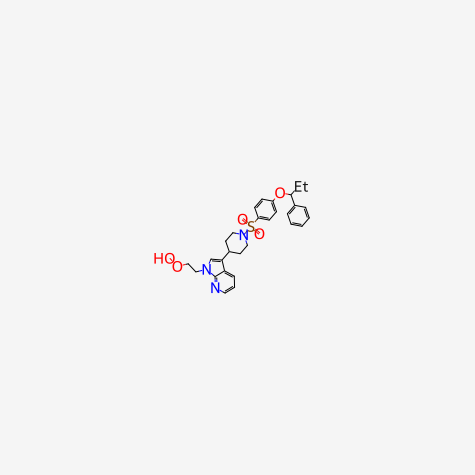 CCC(Oc1ccc(S(=O)(=O)N2CCC(c3cn(CCOO)c4ncccc34)CC2)cc1)c1ccccc1